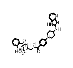 CC(C)(C)c1ccccc1S(=O)(=O)N[C@@H](CNC(=O)c1ccc(N2CCC(Nc3nc4ncccc4[nH]3)CC2)cc1)C(=O)O